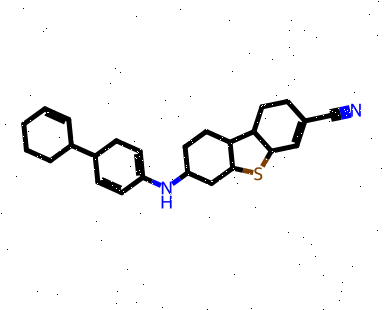 N#CC1=CC2SC3CC(NC4=CCC(C5C=CCCC5)C=C4)CCC3C2CC1